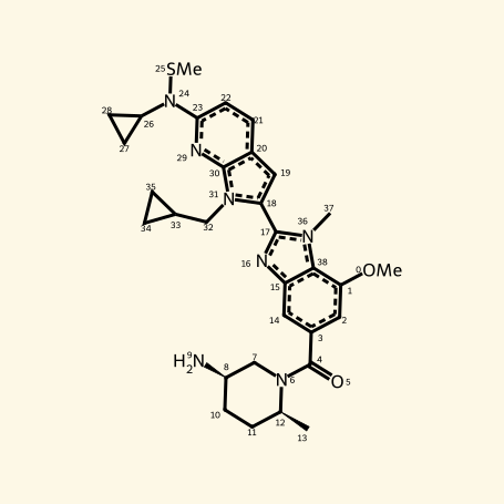 COc1cc(C(=O)N2C[C@H](N)CC[C@@H]2C)cc2nc(-c3cc4ccc(N(SC)C5CC5)nc4n3CC3CC3)n(C)c12